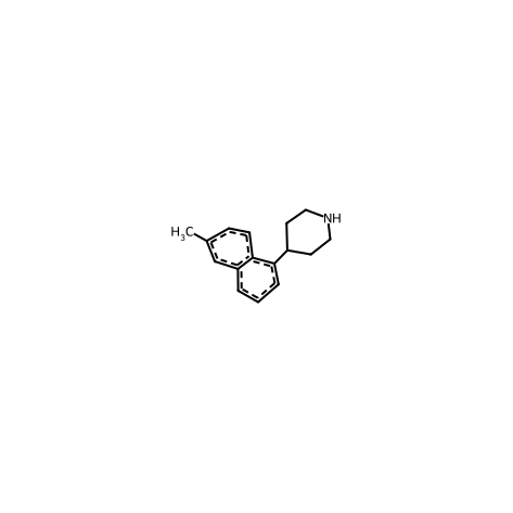 Cc1ccc2c(C3CCNCC3)cccc2c1